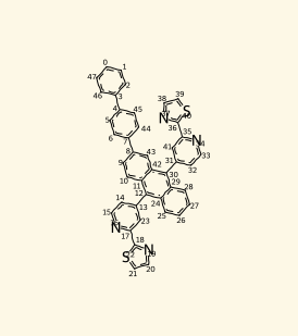 c1ccc(-c2ccc(-c3ccc4c(-c5ccnc(-c6nccs6)c5)c5ccccc5c(-c5ccnc(-c6nccs6)c5)c4c3)cc2)cc1